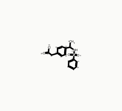 CC(NS(=O)(=O)c1ccccc1)c1ccc(CC(=O)Cl)cc1